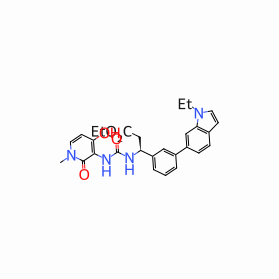 CCOC(=O)C[C@H](NC(=O)Nc1c(O)ccn(C)c1=O)c1cccc(-c2ccc3ccn(CC)c3c2)c1